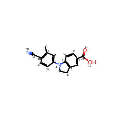 Cc1cc(N2CCc3cc(C(=O)O)ccc32)ccc1C#N